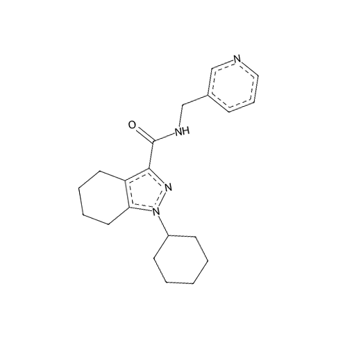 O=C(NCc1cccnc1)c1nn(C2CCCCC2)c2c1CCCC2